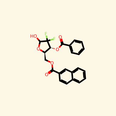 O=C(OC[C@H]1OC(O)C(F)(F)[C@@H]1OC(=O)c1ccccc1)c1ccc2ccccc2c1